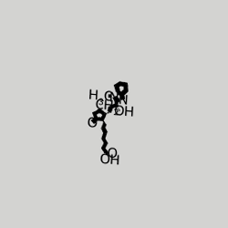 C=C1CC(=O)[C@H](CC=CCCCC(=O)O)[C@H]1C=C[C@@H](O)c1nc2ccccc2n1C